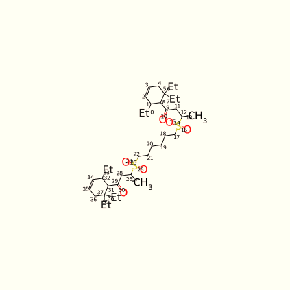 CCC1C=CCC(CC)(CC)C1C(=O)CC(C)S(=O)(=O)CCCCCCS(=O)(=O)C(C)CC(=O)C1C(CC)C=CCC1(CC)CC